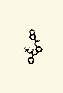 CC(C)(C)OC(=O)N(Cc1cccc(NC(=O)c2ccc3snnc3c2)c1)c1ccccc1